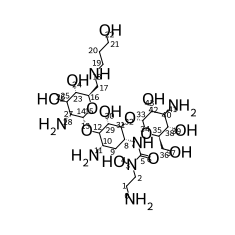 NCCN(O)C(=O)N[C@@H]1C[C@H](N)C(O[C@H]2O[C@H](CNCCCO)[C@@H](O)[C@H](O)[C@H]2N)[C@H](O)[C@H]1O[C@H]1O[C@H](CO)[C@@H](O)[C@H](N)[C@H]1O